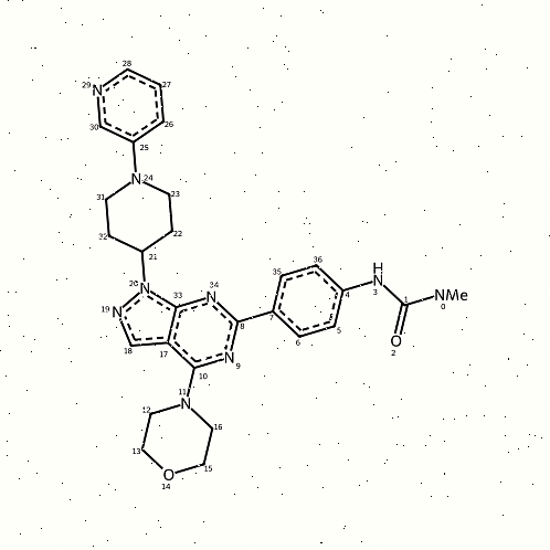 CNC(=O)Nc1ccc(-c2nc(N3CCOCC3)c3cnn(C4CCN(c5cccnc5)CC4)c3n2)cc1